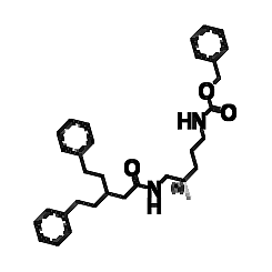 C[C@@H](CCCNC(=O)OCc1ccccc1)CNC(=O)CC(CCc1ccccc1)CCc1ccccc1